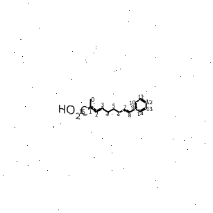 CC(=CCCCCC=Cc1ccccc1)C(=O)O